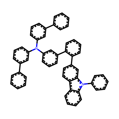 c1ccc(-c2cccc(N(c3cccc(-c4ccccc4)c3)c3cccc(-c4ccccc4-c4ccc5c6ccccc6n(-c6ccccc6)c5c4)c3)c2)cc1